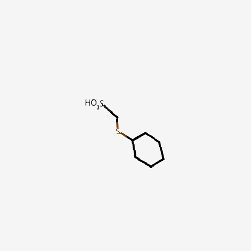 O=S(=O)(O)CSC1CCCCC1